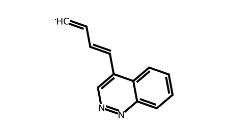 [CH]=CC=Cc1cnnc2ccccc12